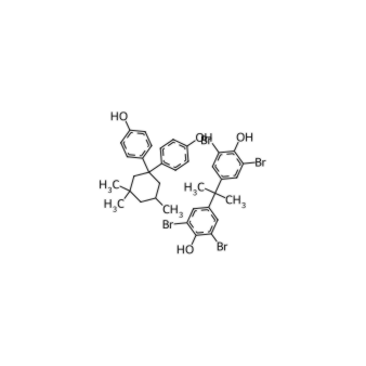 CC(C)(c1cc(Br)c(O)c(Br)c1)c1cc(Br)c(O)c(Br)c1.CC1CC(C)(C)CC(c2ccc(O)cc2)(c2ccc(O)cc2)C1